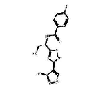 Nc1n[nH]cc1C1N=C([C@H](CO)NC(=O)c2ccc(F)cc2)ON1